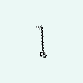 CCCCCCCCCCCCCCCCCCN1CCCN2CCCN=C12